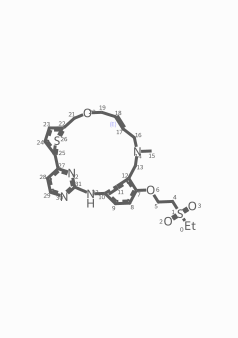 CCS(=O)(=O)CCOc1ccc2cc1CN(C)C/C=C/COCc1ccc(s1)-c1ccnc(n1)N2